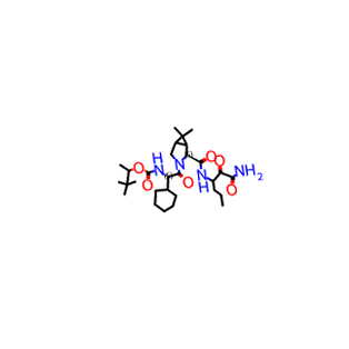 CCCC(NC(=O)[C@@H]1C2C(CN1C(=O)[C@@H](NC(=O)OC(C)C(C)(C)C)C1CCCCC1)C2(C)C)C(=O)C(N)=O